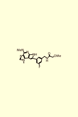 CNc1nc2[nH]c(-c3cc(F)cc(CNC(=O)COC)c3)cc2c2c1ncn2C